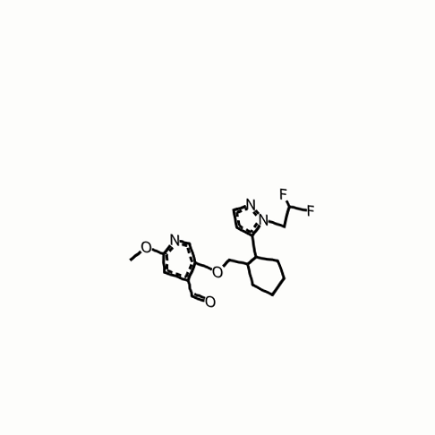 COc1cc(C=O)c(OCC2CCCCC2c2ccnn2CC(F)F)cn1